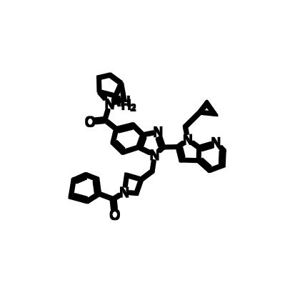 N[C@@H]1C2CCC1N(C(=O)c1ccc3c(c1)nc(-c1cc4cccnc4n1CC1CC1)n3CC1CN(C(=O)c3ccccc3)C1)C2